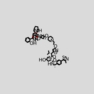 Cc1ncsc1-c1ccc([C@H](C)NC(=O)[C@@H]2CC(O)CN2C(=O)[C@@H](c2cc(OCCN3CCC(OC4CC(Oc5cc(N6C7CC[C@@H]6CN(c6cc(-c8ccccc8O)nnc6N)C7)ccn5)C4)CC3)no2)C(C)C)cc1